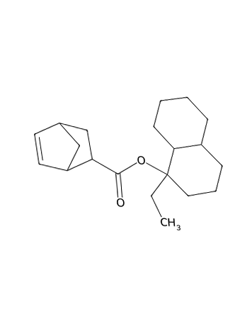 CCC1(OC(=O)C2CC3C=CC2C3)CCCC2CCCCC21